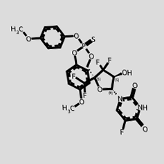 COc1ccc(OP(=S)(OC[C@@]2(C(F)F)O[C@@H](n3cc(F)c(=O)[nH]c3=O)[C@H](O)C2(F)F)Oc2ccc(OC)cc2)cc1